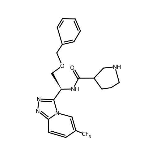 O=C(N[C@H](COCc1ccccc1)c1nnc2ccc(C(F)(F)F)cn12)C1CCCNC1